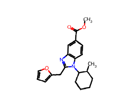 COC(=O)c1ccc2c(c1)nc(Cc1ccco1)n2C1CCCCC1C